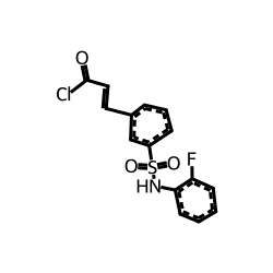 O=C(Cl)/C=C/c1cccc(S(=O)(=O)Nc2ccccc2F)c1